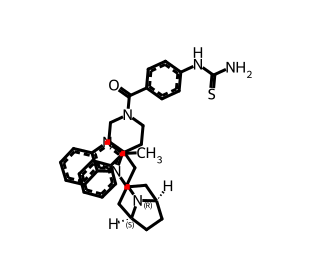 Cc1nc2ccccc2n1C1C[C@H]2CC[C@@H](C1)N2CCC1(c2ccccc2)CCN(C(=O)c2ccc(NC(N)=S)cc2)CC1